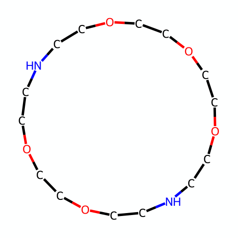 C1COCCOCCNCCOCCOCCOCCN1